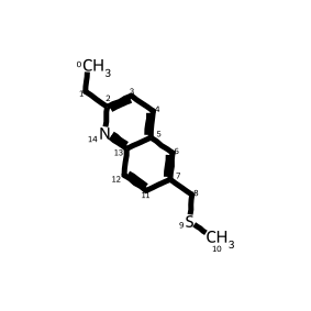 CCc1ccc2cc(CSC)ccc2n1